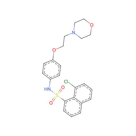 O=S(=O)(Nc1ccc(OCCN2CCOCC2)cc1)c1cccc2cccc(Cl)c12